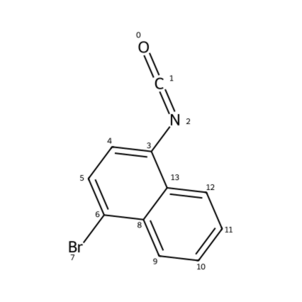 O=C=Nc1ccc(Br)c2ccccc12